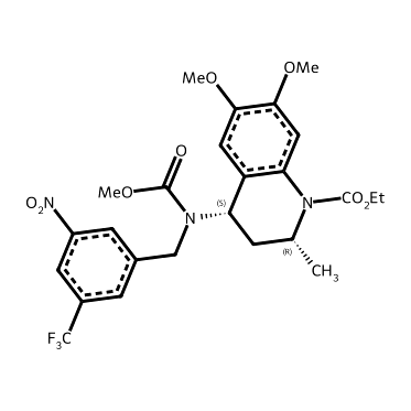 CCOC(=O)N1c2cc(OC)c(OC)cc2[C@@H](N(Cc2cc([N+](=O)[O-])cc(C(F)(F)F)c2)C(=O)OC)C[C@H]1C